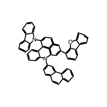 c1cc(-c2cccc3c2oc2ccccc23)cc(N(c2ccc3ccc4ccccc4c3c2)c2ccccc2-c2ccccc2-n2c3ccccc3c3ccccc32)c1